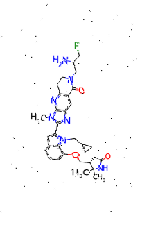 Cn1c(-c2cc3cccc(OCC4CC(=O)NC4(C)C)c3n2CC2CC2)nc2cc3c(nc21)CCN(CC(N)CF)C3=O